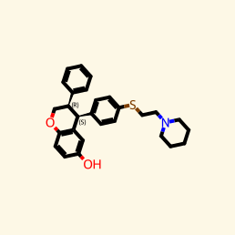 Oc1ccc2c(c1)[C@H](c1ccc(SCCN3CCCCC3)cc1)[C@H](c1ccccc1)CO2